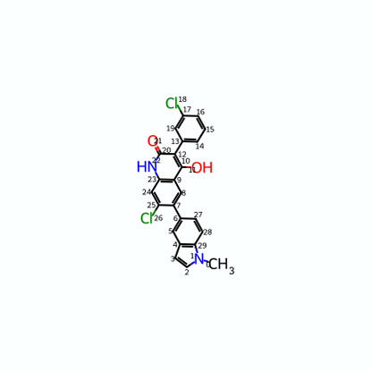 Cn1ccc2cc(-c3cc4c(O)c(-c5cccc(Cl)c5)c(=O)[nH]c4cc3Cl)ccc21